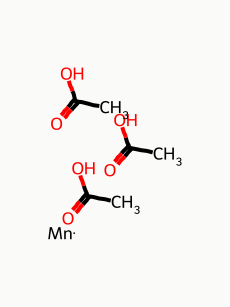 CC(=O)O.CC(=O)O.CC(=O)O.[Mn]